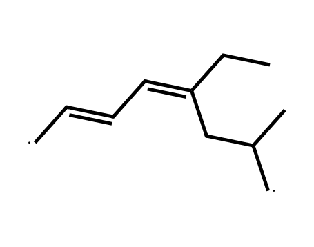 [CH2]C=CC=C(CC)CC([CH2])C